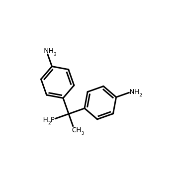 CC(P)(c1ccc(N)cc1)c1ccc(N)cc1